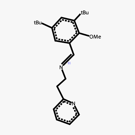 COc1c(/C=N/CCc2ccccn2)cc(C(C)(C)C)cc1C(C)(C)C